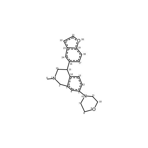 CN1Cc2cc(N3CCOCC3)ccc2C(c2ccc3occc3c2)C1